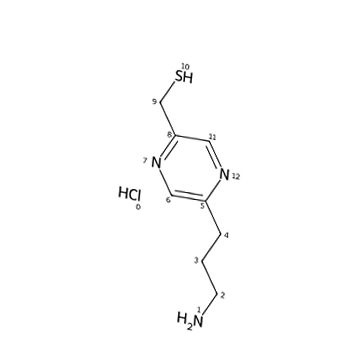 Cl.NCCCc1cnc(CS)cn1